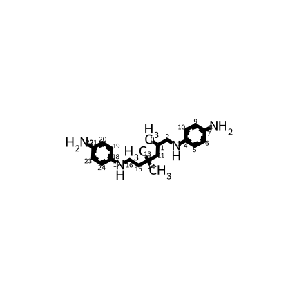 CC(CNc1ccc(N)cc1)CC(C)(C)CCNc1ccc(N)cc1